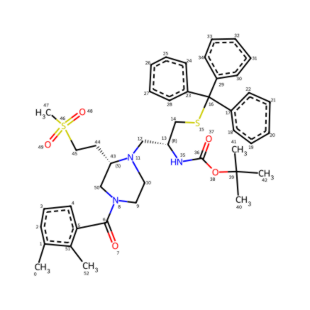 Cc1cccc(C(=O)N2CCN(C[C@H](CSC(c3ccccc3)(c3ccccc3)c3ccccc3)NC(=O)OC(C)(C)C)[C@@H](CCS(C)(=O)=O)C2)c1C